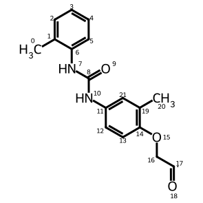 Cc1ccccc1NC(=O)Nc1ccc(OC[C]=O)c(C)c1